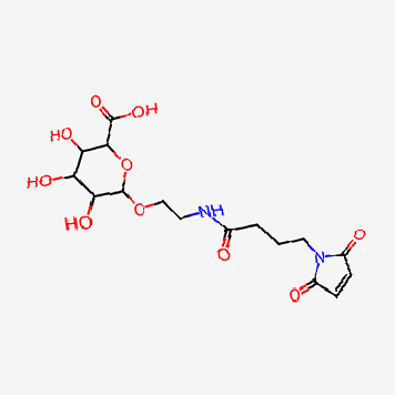 O=C(CCCN1C(=O)C=CC1=O)NCCOC1OC(C(=O)O)C(O)C(O)C1O